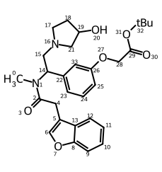 CN(C(=O)Cc1coc2ccccc12)C(CN1CCC(O)C1)c1cccc(OCC(=O)OC(C)(C)C)c1